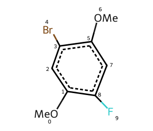 COc1cc(Br)c(OC)cc1F